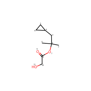 CC(C)(CC1CC1)OC(=O)CO